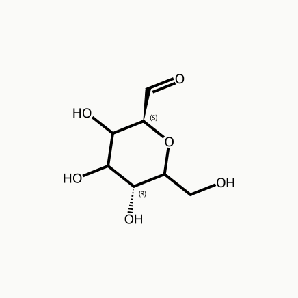 O=C[C@H]1OC(CO)[C@H](O)C(O)C1O